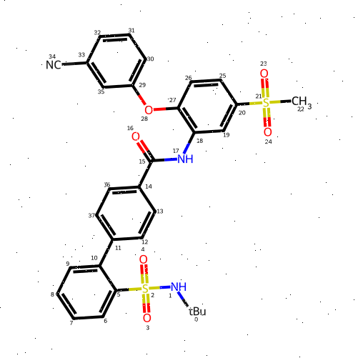 CC(C)(C)NS(=O)(=O)c1ccccc1-c1ccc(C(=O)Nc2cc(S(C)(=O)=O)ccc2Oc2cccc(C#N)c2)cc1